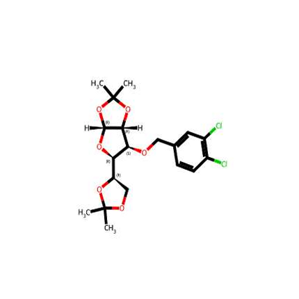 CC1(C)O[C@H]2O[C@H]([C@H]3COC(C)(C)O3)[C@H](OCc3ccc(Cl)c(Cl)c3)[C@H]2O1